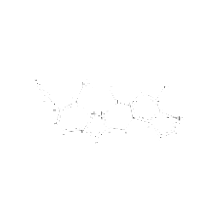 COc1cc(C)c2[nH]ccc2c1Cn1cc2ccc(C#N)c(N)c2n1